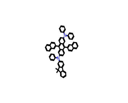 CC1(C)c2ccccc2-c2ccc(N(c3ccccc3)c3ccc4c(-c5ccc6ccccc6c5)c5cc(N(c6ccccc6)c6ccccc6)ccc5c(-c5ccc6ccccc6c5)c4c3)cc21